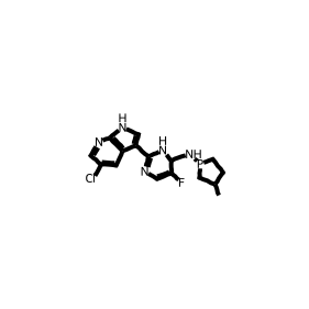 CC1CCP(NC2NC(c3c[nH]c4ncc(Cl)cc34)=NC=C2F)C1